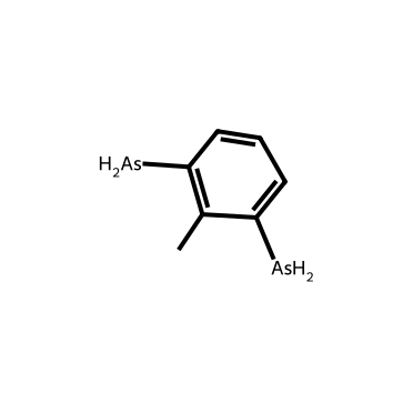 Cc1c([AsH2])cccc1[AsH2]